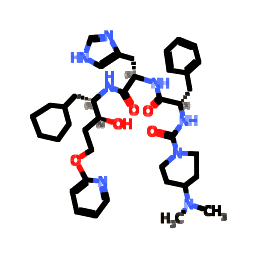 CN(C)C1CCN(C(=O)N[C@@H](Cc2ccccc2)C(=O)N[C@@H](Cc2c[nH]cn2)C(=O)N[C@@H](CC2CCCCC2)[C@@H](O)CCOc2ccccn2)CC1